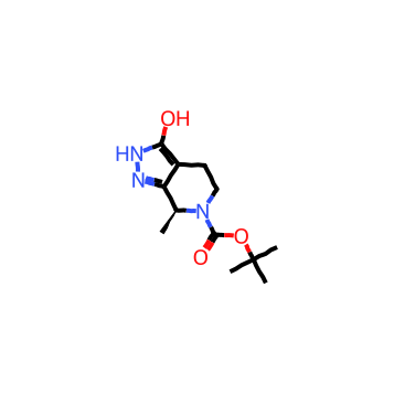 C[C@H]1c2n[nH]c(O)c2CCN1C(=O)OC(C)(C)C